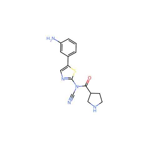 N#CN(C(=O)C1CCNC1)c1ncc(-c2cccc(N)c2)s1